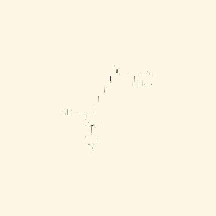 CCCCCCCCCCC(CCCCCCC=CC(=O)OCC(CCCC)CCCCCC)OC(=O)C1CCN(C)CC1